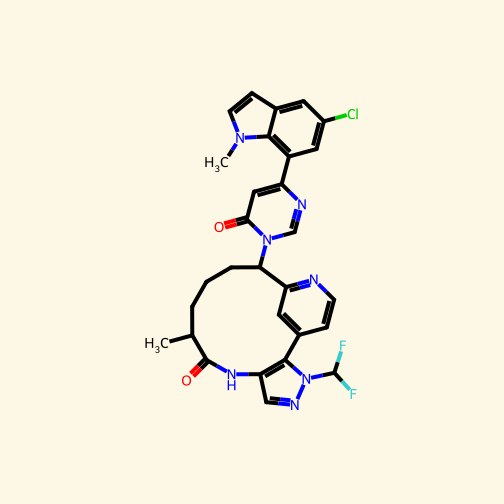 CC1CCCC(n2cnc(-c3cc(Cl)cc4ccn(C)c34)cc2=O)c2cc(ccn2)-c2c(cnn2C(F)F)NC1=O